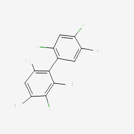 Cc1cc(C)c(-c2cc(C(F)(F)F)c(F)cc2F)c(C)c1F